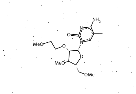 COCCO[C@H]1C(OC)[C@@H](COC)O[C@H]1n1cc(C)c(N)nc1=O